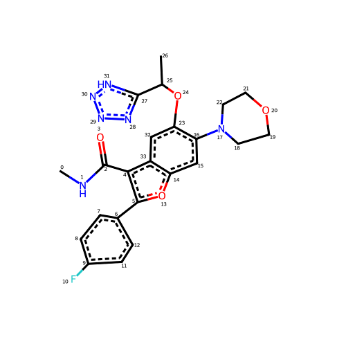 CNC(=O)c1c(-c2ccc(F)cc2)oc2cc(N3CCOCC3)c(OC(C)c3nnn[nH]3)cc12